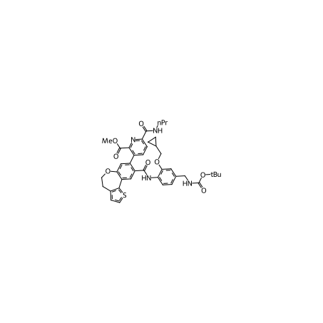 CCCNC(=O)c1ccc(-c2cc3c(cc2C(=O)Nc2ccc(CNC(=O)OC(C)(C)C)cc2OCC2CC2)-c2sccc2CCO3)c(C(=O)OC)n1